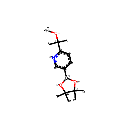 [2H]OC(C)(C)c1ccc(B2OC(C)(C)C(C)(C)O2)cn1